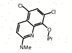 CNc1ccc2c(Cl)cc(Cl)c(OC(C)C)c2n1